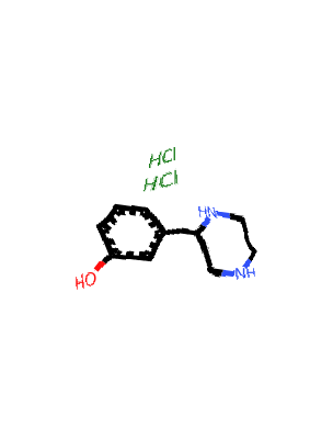 Cl.Cl.Oc1cccc(C2CNCCN2)c1